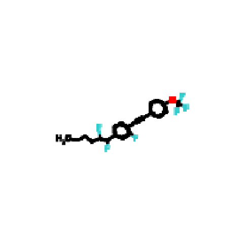 CCCCC(F)=C(F)c1ccc(C#Cc2ccc(OC(F)(F)F)cc2)c(F)c1